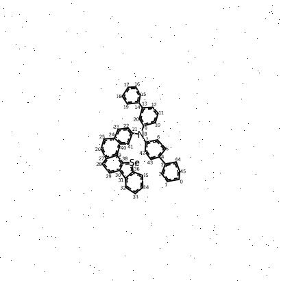 c1ccc(-c2ccc(N(c3cccc(-c4ccccc4)c3)c3ccc4ccc5ccc6c7ccccc7[se]c6c5c4c3)cc2)cc1